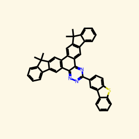 CC1(C)c2ccccc2-c2cc3c(cc21)c1cc2c(cc1c1nc(-c4ccc5sc6ccccc6c5c4)nnc31)-c1ccccc1C2(C)C